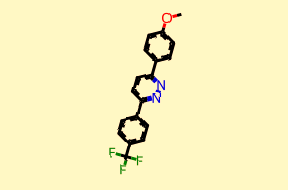 COc1ccc(-c2ccc(-c3ccc(C(F)(F)F)cc3)nn2)cc1